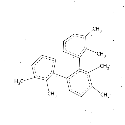 [CH2]c1ccc(-c2cccc(C)c2C)c(-c2cccc(C)c2C)c1[CH2]